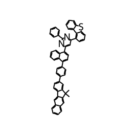 CC1(C)c2cc(-c3ccc(-c4ccc(-c5cc(-c6cccc7sc8ccccc8c67)nc(-c6ccccc6)n5)c5ccccc45)cc3)ccc2-c2cc3ccccc3cc21